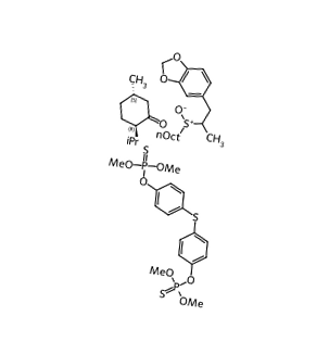 CC(C)[C@H]1CC[C@H](C)CC1=O.CCCCCCCC[S+]([O-])C(C)Cc1ccc2c(c1)OCO2.COP(=S)(OC)Oc1ccc(Sc2ccc(OP(=S)(OC)OC)cc2)cc1